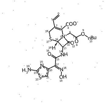 C=CC1=C(C(=O)[O-])[N+]2(CC(=O)OCCCC)C(=O)C(NC(=O)C(=NO)c3csc(N)n3)[C@@H]2SC1